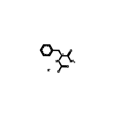 NC(=O)[C@H](Cc1ccccc1)NC(=O)[O-].[K+]